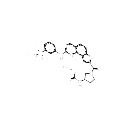 CC(C)(C)OC(=O)NC1CCN(C(=O)c2cc3c(ccc4cnc(Nc5cccc(S(N)(=O)=O)c5)nc43)s2)C1